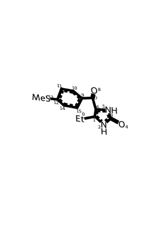 CCc1[nH]c(=O)[nH]c1C(=O)c1ccc(SC)cc1